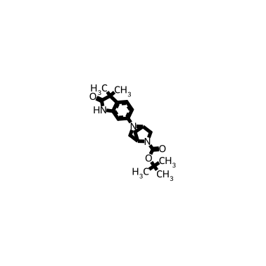 CC(C)(C)OC(=O)N1CC2CC1CN2c1ccc2c(c1)NC(=O)C2(C)C